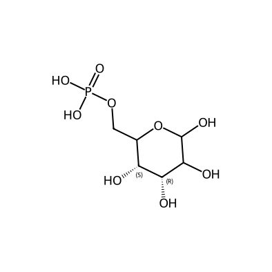 O=P(O)(O)OCC1OC(O)C(O)[C@H](O)[C@@H]1O